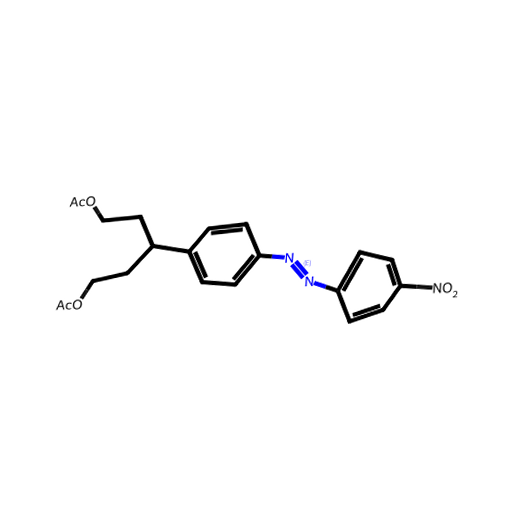 CC(=O)OCCC(CCOC(C)=O)c1ccc(/N=N/c2ccc([N+](=O)[O-])cc2)cc1